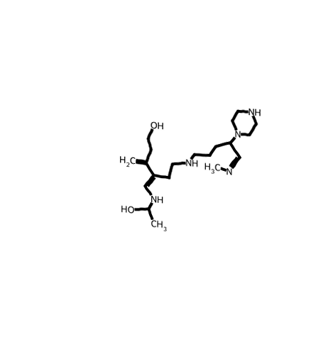 C=C(CCO)/C(=C/NC(C)O)CCNCCCC(/C=N\C)N1CCNCC1